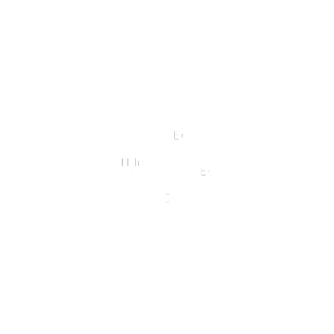 CC[Si]([InH2])(CC)CC